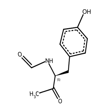 CC(=O)[C@H](Cc1ccc(O)cc1)NC=O